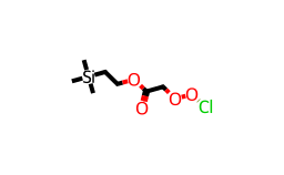 C[Si](C)(C)CCOC(=O)COOCl